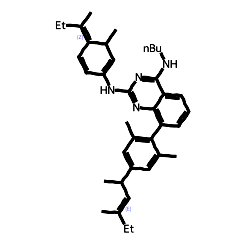 CCCCNc1nc(NC2=CC(C)/C(=C(\C)CC)C=C2)nc2c(-c3c(C)cc(C(C)/C=C(\C)CC)cc3C)cccc12